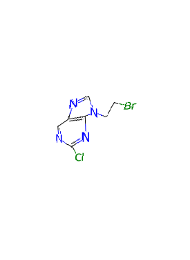 Clc1ncc2ncn(CCBr)c2n1